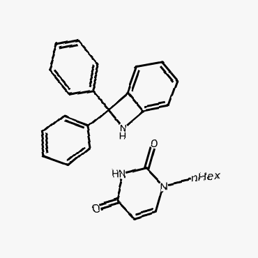 CCCCCCn1ccc(=O)[nH]c1=O.c1ccc(C2(c3ccccc3)Nc3ccccc32)cc1